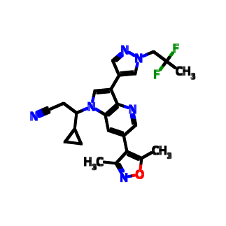 Cc1noc(C)c1-c1cnc2c(-c3cnn(CC(C)(F)F)c3)cn(C(CC#N)C3CC3)c2c1